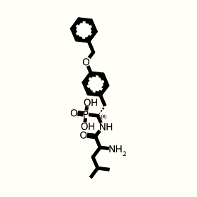 CC(C)CC(N)C(=O)N[C@@H](Cc1ccc(OCc2ccccc2)cc1)P(=O)(O)O